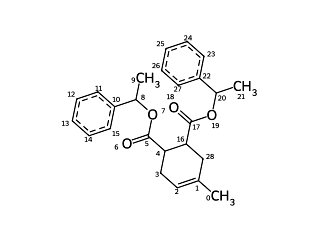 CC1=CCC(C(=O)OC(C)c2ccccc2)C(C(=O)OC(C)c2ccccc2)C1